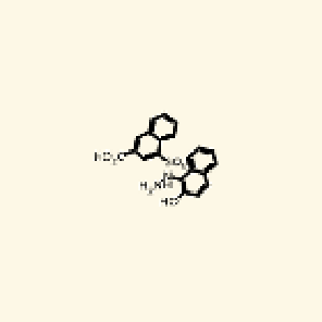 NNc1c(O)ccc2ccccc12.O=C(O)c1cc(S(=O)(=O)O)c2ccccc2c1